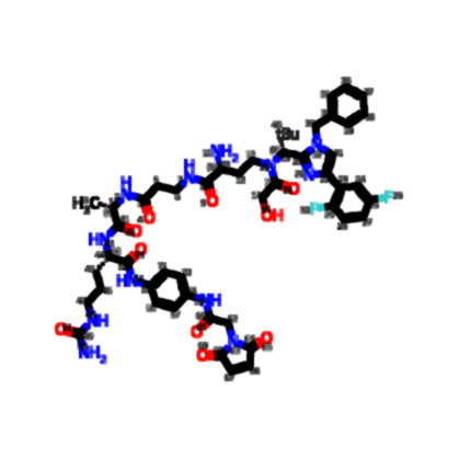 C[C@H](NC(=O)CCNC(=O)[C@@H](N)CCN(C(=O)CO)[C@@H](c1nc(-c2cc(F)ccc2F)cn1Cc1ccccc1)C(C)(C)C)C(=O)N[C@@H](CCCNC(N)=O)C(=O)Nc1ccc(NC(=O)CN2C(=O)C=CC2=O)cc1